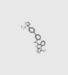 CN(c1cccc(-c2ccc(C3(C(F)(F)F)CCO3)cc2)c1)c1nc2nnc(Cl)n2c2ccccc12